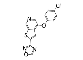 Clc1ccc(Oc2cncc3sc(-c4ncon4)cc23)cc1